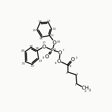 CCCCC(=O)OOP(=O)(Oc1ccccc1)Oc1ccccc1